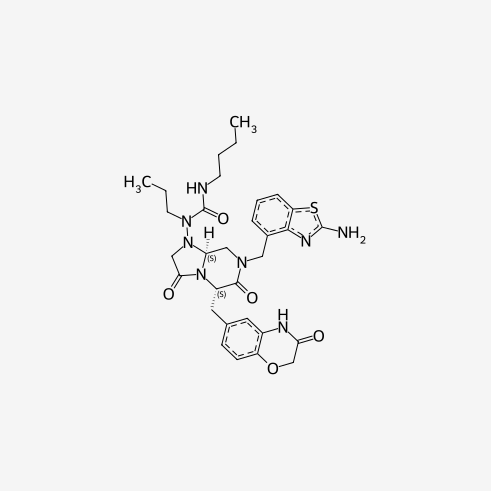 CCCCNC(=O)N(CCC)N1CC(=O)N2[C@@H](Cc3ccc4c(c3)NC(=O)CO4)C(=O)N(Cc3cccc4sc(N)nc34)C[C@@H]21